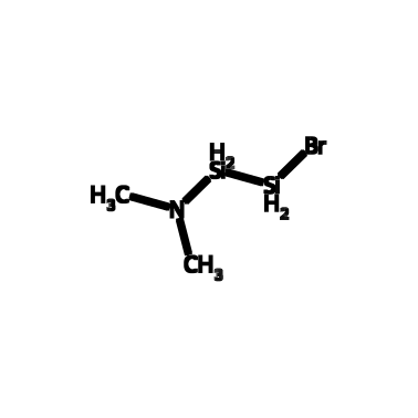 CN(C)[SiH2][SiH2]Br